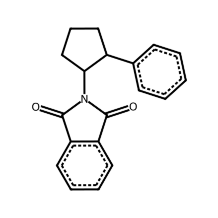 O=C1c2ccccc2C(=O)N1C1CCCC1c1ccccc1